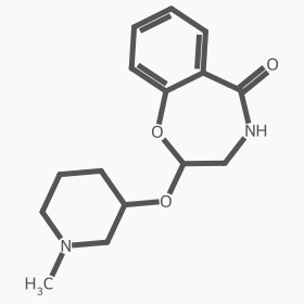 CN1CCCC(OC2CNC(=O)c3ccccc3O2)C1